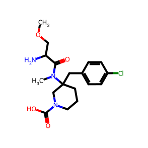 COCC(N)C(=O)N(C)C1(Cc2ccc(Cl)cc2)CCCN(C(=O)O)C1